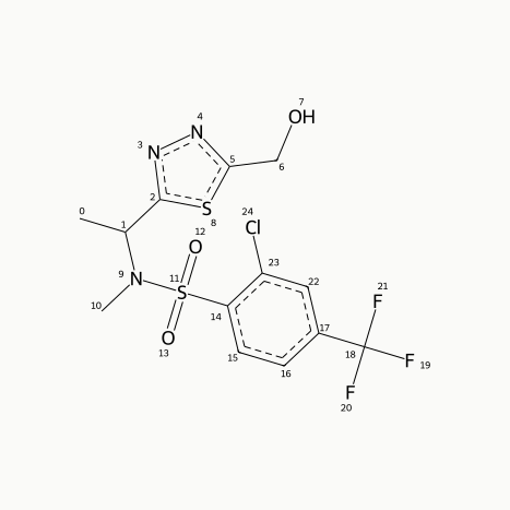 CC(c1nnc(CO)s1)N(C)S(=O)(=O)c1ccc(C(F)(F)F)cc1Cl